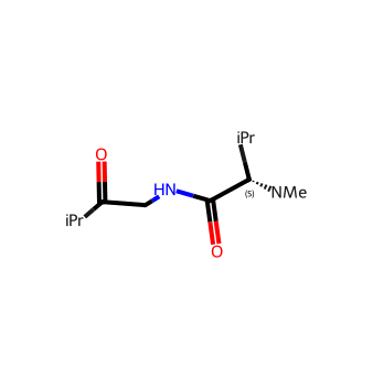 CN[C@H](C(=O)NCC(=O)C(C)C)C(C)C